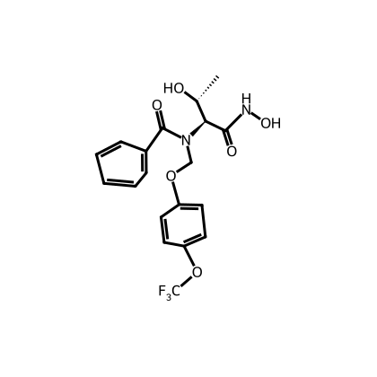 C[C@@H](O)[C@@H](C(=O)NO)N(COc1ccc(OC(F)(F)F)cc1)C(=O)c1ccccc1